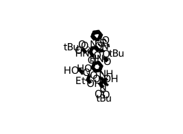 CC[C@@H](O)[C@H](OCCO)O[C@@H]1[C@@H](O)[C@H](O[C@H]2OC(CN(C)S(=O)(=O)c3ccccc3[N+](=O)[O-])=CC[C@H]2NC(=O)OC(C)(C)C)[C@@H](NC(=O)OC(C)(C)C)C[C@H]1NC(=O)C1(O)CN(C(=O)OC(C)(C)C)C1